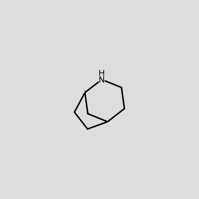 C1CC2CC[C](C2)N1